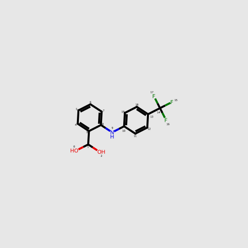 OC(O)c1ccccc1Nc1ccc(C(F)(F)F)cc1